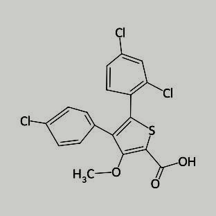 COc1c(C(=O)O)sc(-c2ccc(Cl)cc2Cl)c1-c1ccc(Cl)cc1